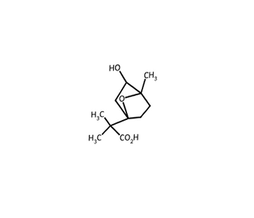 CC12CCC(C(C)(C)C(=O)O)(CC1O)O2